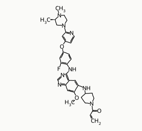 C=CC(=O)N1CCC(Nc2cc3c(Nc4ccc(Oc5ccnc(N6CCN(C)[C@H](C)C6)c5)cc4F)ncnc3cc2OC)CC1